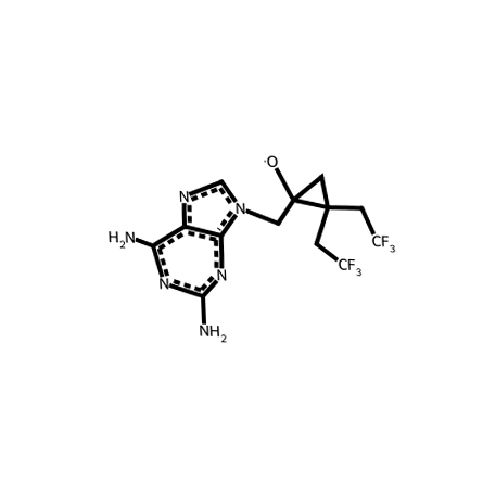 Nc1nc(N)c2ncn(CC3([O])CC3(CC(F)(F)F)CC(F)(F)F)c2n1